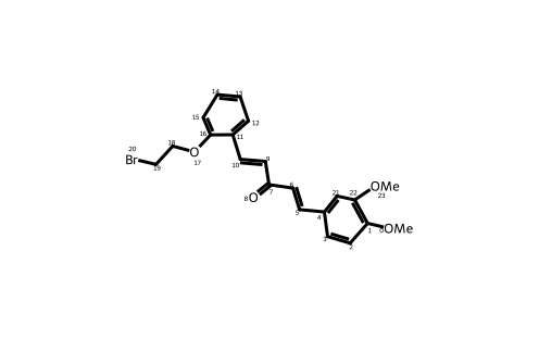 COc1ccc(C=CC(=O)C=Cc2ccccc2OCCBr)cc1OC